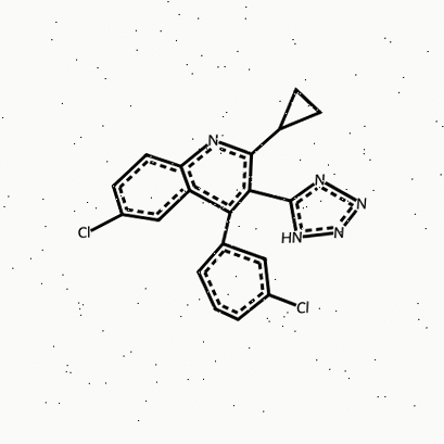 Clc1cccc(-c2c(-c3nnn[nH]3)c(C3CC3)nc3ccc(Cl)cc23)c1